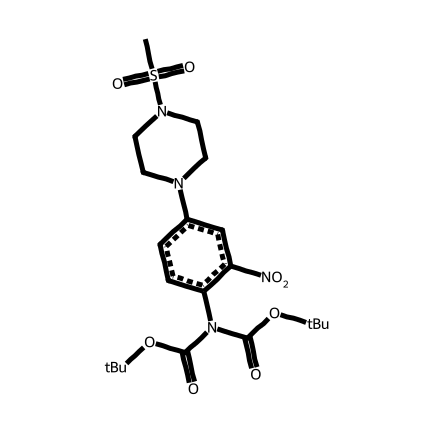 CC(C)(C)OC(=O)N(C(=O)OC(C)(C)C)c1ccc(N2CCN(S(C)(=O)=O)CC2)cc1[N+](=O)[O-]